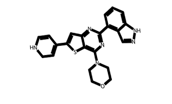 C1=CC(c2cc3nc(-c4cccc5[nH]ncc45)nc(N4CCOCC4)c3s2)=CCN1